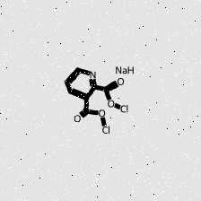 O=C(OCl)c1cccnc1C(=O)OCl.[NaH]